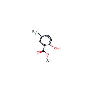 CC(C)OC(=O)c1cc(C(F)(F)F)ccc1O